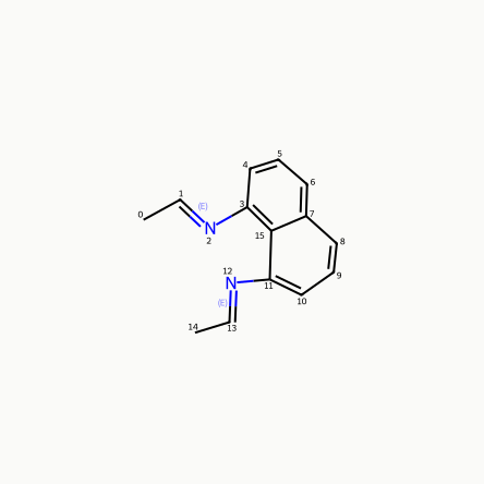 C/C=N/c1cccc2cccc(/N=C/C)c12